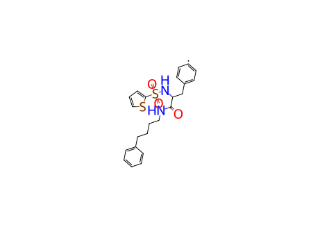 O=C(NCCCCc1ccccc1)C(Cc1cc[c]cc1)NS(=O)(=O)c1cccs1